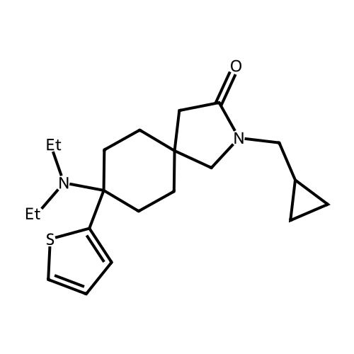 CCN(CC)C1(c2cccs2)CCC2(CC1)CC(=O)N(CC1CC1)C2